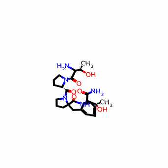 C[C@@H](O)C(N)C(=O)N1CCC[C@H]1C(=O)N1CCCC1(Cc1ccccc1)C(=O)N[C@@H](C(N)=O)[C@@H](C)O